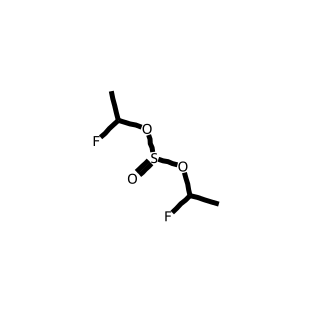 CC(F)OS(=O)OC(C)F